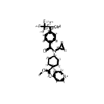 COC(=O)[C@]1(c2cccnc2)CC[C@@H](N(C(=O)c2ccc([C@](C)(O)C(F)(F)F)cc2)C2CC2)CC1